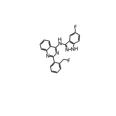 FCc1ccccc1-c1nc(Nc2n[nH]c3ccc(F)cc23)c2ccccc2n1